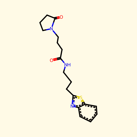 O=C(CCCN1CCCC1=O)NCCCc1nc2ccccc2s1